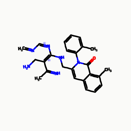 C=N/C=N\C(NCc1cc2cccc(C)c2c(=O)n1-c1ccccc1C)=C(/CN)C(C)=N